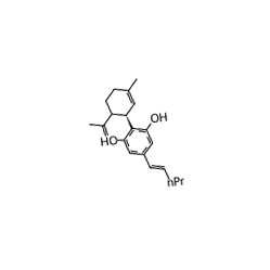 C=C(C)C1CCC(C)=C[C@H]1c1c(O)cc(/C=C/CCC)cc1O